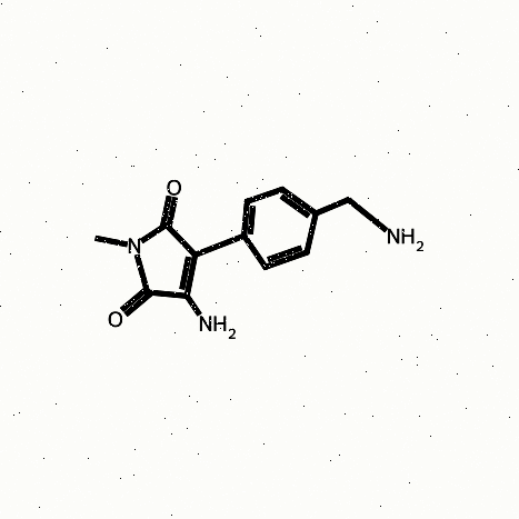 CN1C(=O)C(N)=C(c2ccc(CN)cc2)C1=O